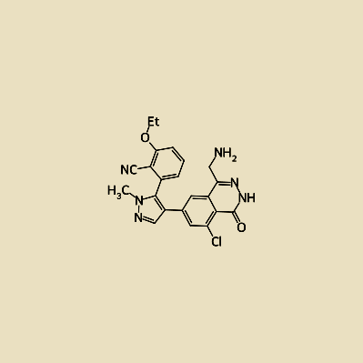 CCOc1cccc(-c2c(-c3cc(Cl)c4c(=O)[nH]nc(CN)c4c3)cnn2C)c1C#N